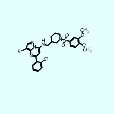 COc1ccc(S(=O)(=O)N2CCCC(CNc3cc(-c4ccccc4Cl)nc4c(Br)cnn34)C2)cc1OC